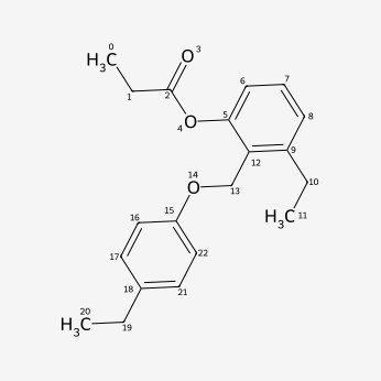 CCC(=O)Oc1cccc(CC)c1COc1ccc(CC)cc1